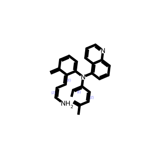 C=C(C)/C=C\C(=C/C)N(c1cccc(=C)/c1=C\C=C/N)c1cccc2ncccc12